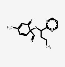 CCCC(OC1(C=O)C=CC(C)=CC1=O)c1ncccn1